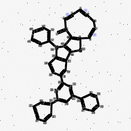 C=C1/C=C\C=C/C/C=C\c2sc3c4cc(-c5nc(-c6ccccc6)cc(-c6ccccc6)n5)ccc4n(-c4ccccc4)c3c21